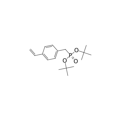 C=Cc1ccc(CP(=O)(OC(C)(C)C)OC(C)(C)C)cc1